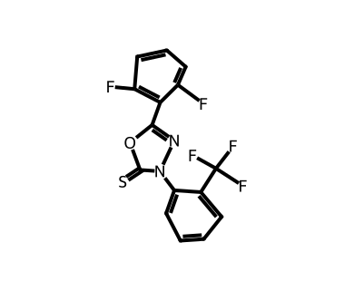 Fc1cccc(F)c1-c1nn(-c2ccccc2C(F)(F)F)c(=S)o1